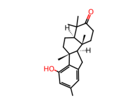 Cc1cc(O)c2c(c1)C[C@@H]1[C@@]3(C)CCC(=O)C(C)(C)[C@@H]3CC[C@@]21C